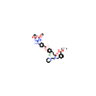 CCCCOC(=O)c1cccc(CN(CCN2CCCCC2)C(=O)CCc2ccc(OC(=O)c3ccc(N/C(=N/C(=O)OC(C)(C)C)NC(=O)OC(C)(C)C)cc3)cc2Cl)c1